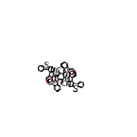 N#Cc1c(-n2c3ccccc3c3ccccc32)c(-n2c3ccccc3c3c4c(ccc32)sc2ccccc24)c(C#N)c(-n2c3ccccc3c3ccccc32)c1-n1c2ccccc2c2c3c(ccc21)sc1ccccc13